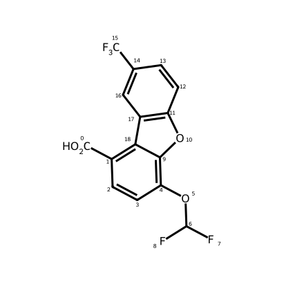 O=C(O)c1ccc(OC(F)F)c2oc3ccc(C(F)(F)F)cc3c12